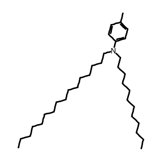 CCCCCCCCCCCCCCCCN(CCCCCCCCCCCC)c1ccc(C)cc1